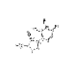 CC1CCN(c2ccc(F)c(F)c2F)C1=O